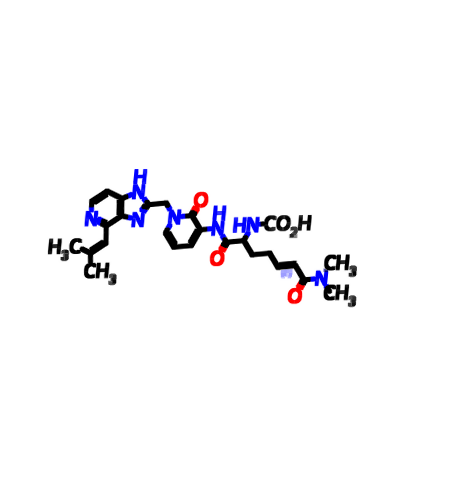 CC(C)=Cc1nccc2[nH]c(Cn3cccc(NC(=O)C(CC/C=C/C(=O)N(C)C)NC(=O)O)c3=O)nc12